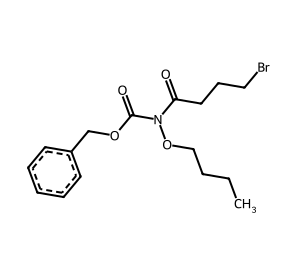 CCCCON(C(=O)CCCBr)C(=O)OCc1ccccc1